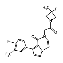 CC1(F)CN(C(=O)Cn2ccn3ccc(-c4ccc(F)c(C(F)(F)F)c4)c3c2=O)C1